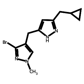 Cn1cc(Cc2cc(CC3CC3)n[nH]2)c(Br)n1